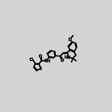 COc1ccc2c(c1)C(=CC(=O)c1cccc(NC(=O)c3sccc3Cl)c1)NC(C)(C)C2